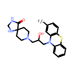 O=C1NCNC12CCN(CC(O)CN1c3ccccc3Sc3ccc(C(F)(F)F)cc31)CC2